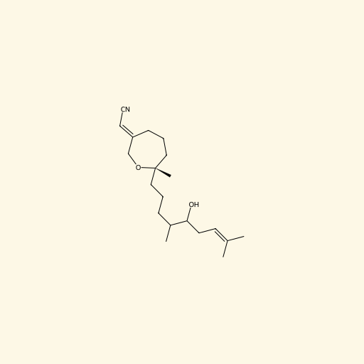 CC(C)=CCC(O)C(C)CCC[C@@]1(C)CCC/C(=C\C#N)CO1